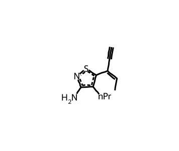 C#C/C(=C/C)c1snc(N)c1CCC